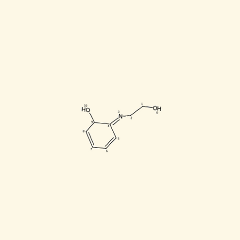 OCCN=C1C=CC=CC1O